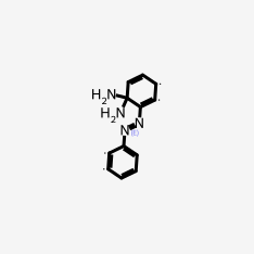 NC1(N)C=C[CH][C]=C1/N=N/c1[c][c]ccc1